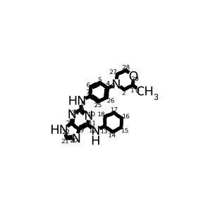 CC1CN(c2ccc(Nc3nc(NC4CCCCC4)c4nc[nH]c4n3)cc2)CCO1